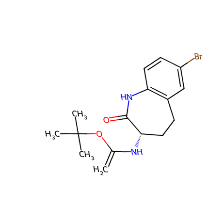 C=C(N[C@H]1CCc2cc(Br)ccc2NC1=O)OC(C)(C)C